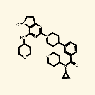 O=C(c1cccc(C2CCN(c3nc4c(c(NC5CCOCC5)n3)[S+]([O-])CC4)CC2)c1)N(C1CCOCC1)C1CC1